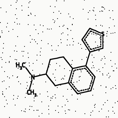 CN(C)C1CCc2c(cccc2-c2ccsc2)C1